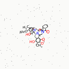 COc1c(C)cc2c(c1O)[C@@H]1C3Cc4c(O)c(C)c5c(c4[C@H](CN4C(=O)c6ccccc6C4=O)N3C(C#N)C(C2)N1C)OCO5